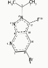 CC(C)n1nc2ncc(Br)cc2c1F